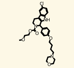 COCCOC(=O)N1CCc2c([nH]c3ccc(Cl)cc23)C1c1ccc(OCCCCN2CCOCC2)cc1